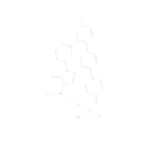 CC(C)(C)CN1CCN(c2ccc(-c3ccc(Cl)cc3N3CCCC(n4ncc(C(=O)O)c4C(F)F)C3)cc2)CC1